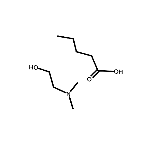 CCCCC(=O)O.CN(C)CCO